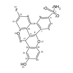 NS(=O)(=O)c1ccc(C2=C(c3ccc(F)cc3)C(C=O)c3cc(O)ccc3O2)cc1